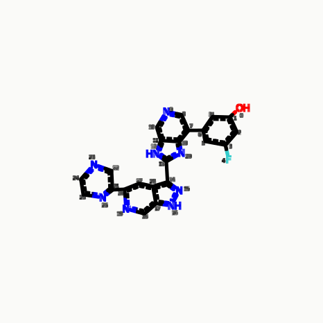 Oc1cc(F)cc(-c2cncc3[nH]c(-c4n[nH]c5cnc(-c6cnccn6)cc45)nc23)c1